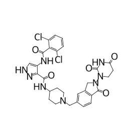 O=C1CCN(N2Cc3cc(CN4CCC(NC(=O)c5n[nH]cc5NC(=O)c5c(Cl)cccc5Cl)CC4)ccc3C2=O)C(=O)N1